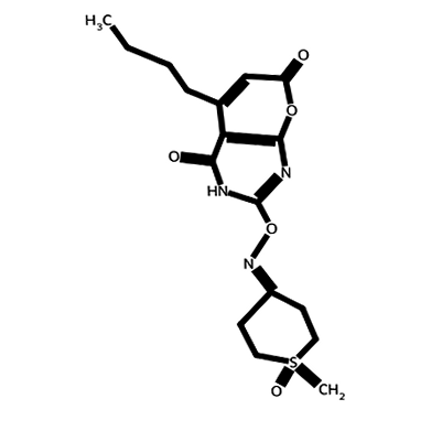 C=S1(=O)CCC(=NOc2nc3oc(=O)cc(CCCC)c3c(=O)[nH]2)CC1